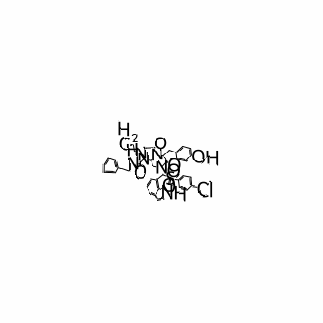 C=CCN1CC(=O)N2C(Cc3ccc(O)cc3)C(=O)N(C(c3cccc4cc[nH]c34)S(=O)(=O)c3ccc(Cl)cc3)CC2N1C(=O)NCc1ccccc1